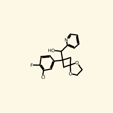 OC(c1ccccn1)C1(c2ccc(F)c(Cl)c2)CC2(C1)OCCO2